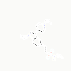 CNS(=O)(=O)CCc1ccc2c(c1)c(C1=CCN(C)CC1)cn2C